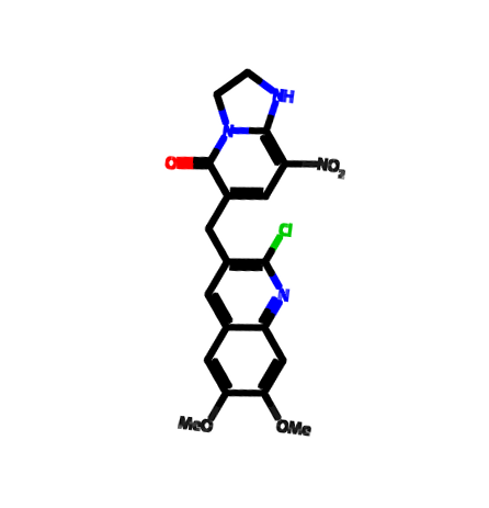 COc1cc2cc(Cc3cc([N+](=O)[O-])c4n(c3=O)CCN4)c(Cl)nc2cc1OC